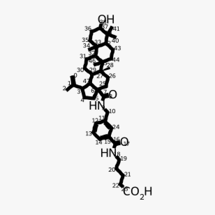 C=C(C)C1CCC2(C(=O)NCc3cccc(C(=O)NCCCCC(=O)O)c3)CC[C@]3(C)C(CCC4C5(C)CCC(O)C(C)(C)C5CCC43C)C12